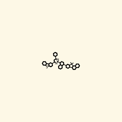 CC1(C)c2cc(-c3ccc(-c4nc(-c5ccccc5)cc(-c5ccc6sc7ccccc7c6c5)n4)c4ccccc34)ccc2-c2ccc3ccccc3c21